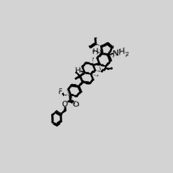 C=C(C)[C@@H]1CC[C@]2(N)CC[C@@](C)([C@]3(C)CC[C@H]4C(C)(C)C(C5=CC[C@](CF)(C(=O)OCc6ccccc6)CC5)=CC[C@]4(C)[C@H]3CCC)C[C@@H]12